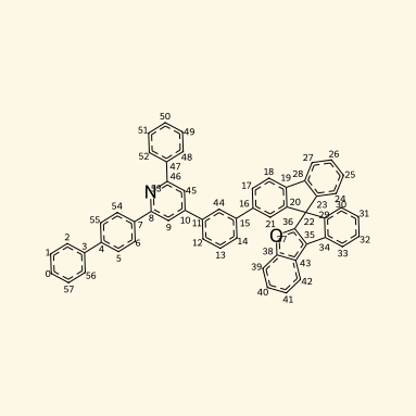 c1ccc(-c2ccc(-c3cc(-c4cccc(-c5ccc6c(c5)C5(c7ccccc7-6)c6ccccc6-c6c5oc5ccccc65)c4)cc(-c4ccccc4)n3)cc2)cc1